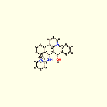 O=[N+]([O-])c1ccccc1[C@@H](Nc1ccccn1)[C@H](c1ccccn1)[C@@H](O)c1ccccc1